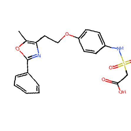 Cc1oc(-c2ccccc2)nc1CCOc1ccc(NS(=O)(=O)CC(=O)O)cc1